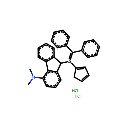 CN(C)c1cccc2c1-c1ccccc1[CH]2[Zr]([C]1=CC=CC1)=[C](c1ccccc1)c1ccccc1.Cl.Cl